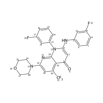 O=c1cc(Nc2cccc(F)c2)n(-c2cccc(F)c2)c2nc(N3CCOCC3)cc(C(F)(F)F)c12